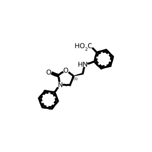 O=C(O)c1ccccc1NC[C@H]1CN(c2ccccc2)C(=O)O1